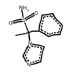 CC(c1ccccc1)(n1ccnc1)S(N)(=O)=O